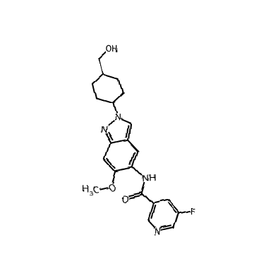 COc1cc2nn(C3CCC(CO)CC3)cc2cc1NC(=O)c1cncc(F)c1